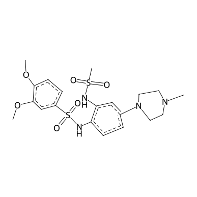 COc1ccc(S(=O)(=O)Nc2ccc(N3CCN(C)CC3)cc2NS(C)(=O)=O)cc1OC